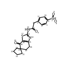 O=C(Cc1ccc([SH](=O)=O)cc1)Nc1nc2c(s1)C(=O)C1(CCCC1)CC2